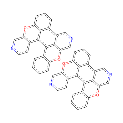 c1ccc2c(c1)oc1cncc3c4cccc5oc6cnccc6c(c54)c2c13.c1ccc2c(c1)oc1cncc3c4cccc5oc6cnccc6c(c54)c2c13